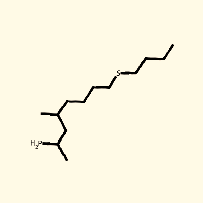 CCCCSCCCCC(C)CC(C)P